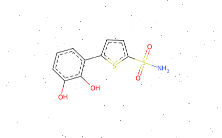 NS(=O)(=O)c1ccc(-c2cccc(O)c2O)s1